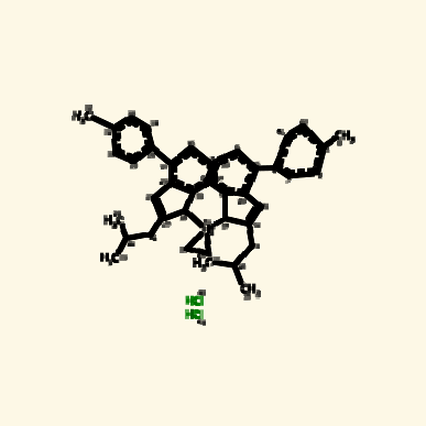 Cc1ccc(-c2cccc3c2C=C(CC(C)C)[CH]3[Hf]2([CH]3C(CC(C)C)=Cc4c(-c5ccc(C)cc5)cccc43)[CH2][CH2]2)cc1.Cl.Cl